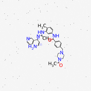 C=C(/N=C(\C=C/N)c1cccnc1)Nc1cc(NC(=O)c2ccc(CN3CCN(C(C)=O)CC3)cc2)ccc1C